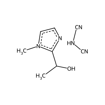 CC(O)c1nccn1C.N#CNC#N